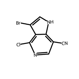 N#Cc1cnc(Cl)c2c(Br)c[nH]c12